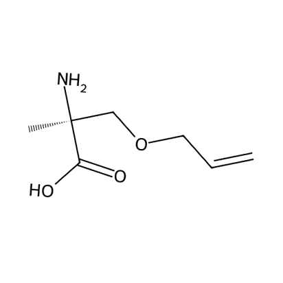 C=CCOC[C@](C)(N)C(=O)O